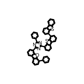 c1ccc(-c2nc(-c3cccc4c3oc3c(-c5ccccc5)cccc34)nc(-c3cccc4c3sc3c(-c5cccc6c5sc5ccccc56)cccc34)n2)cc1